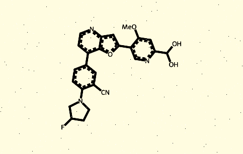 COc1cc(C(O)O)ncc1-c1cc2nccc(-c3ccc(N4CCC(F)C4)c(C#N)c3)c2o1